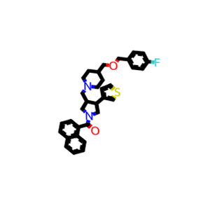 O=C(c1cccc2ccccc12)N1CC(CN2CCC(COCc3ccc(F)cc3)CC2)C(c2ccsc2)C1